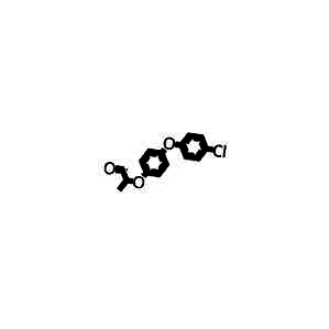 CC([C]=O)Oc1ccc(Oc2ccc(Cl)cc2)cc1